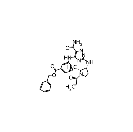 C=CC(=O)N1CC[C@@H](Nc2nnc(C(N)=O)c(Nc3cccc(C(=O)OCc4ccccc4)c3)n2)[C@H]1C